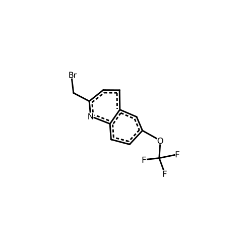 FC(F)(F)Oc1ccc2nc(CBr)ccc2c1